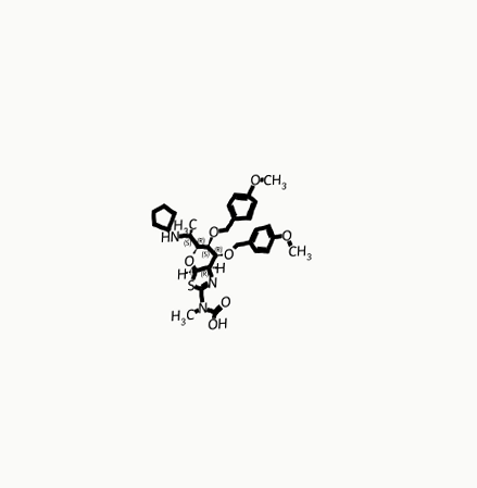 COc1ccc(CO[C@H]2[C@H](OCc3ccc(OC)cc3)[C@H]3N=C(N(C)C(=O)O)S[C@H]3O[C@@H]2[C@H](C)NC2CCCC2)cc1